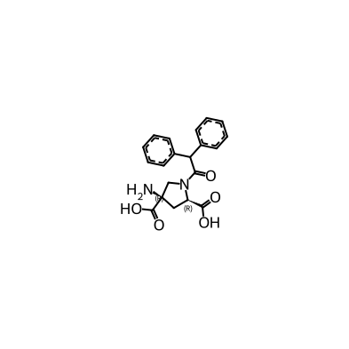 N[C@]1(C(=O)O)C[C@H](C(=O)O)N(C(=O)C(c2ccccc2)c2ccccc2)C1